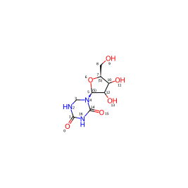 O=C1NCN([C@H]2O[C@@H](CO)C(O)C2O)C(=O)N1